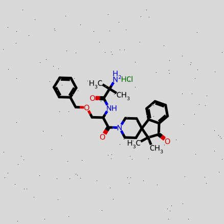 CC(C)(N)C(=O)NC(COCc1ccccc1)C(=O)N1CCC2(CC1)c1ccccc1C(=O)C2(C)C.Cl